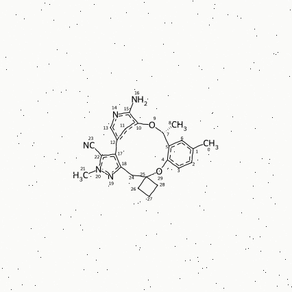 Cc1ccc2c(c1)[C@@H](C)Oc1cc(cnc1N)-c1c(nn(C)c1C#N)CC1(CCC1)O2